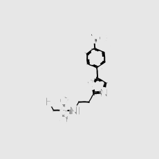 O=[N+]([O-])c1ccc(-c2cnc(CCNS(=O)(=O)CF)s2)cc1